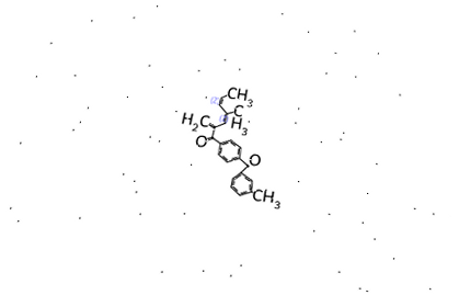 C=C(/C=C(C)\C=C/C)C(=O)c1ccc(C(=O)c2cccc(C)c2)cc1